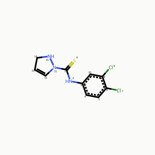 S=C(Nc1ccc(Cl)c(Cl)c1)N1C=CCN1